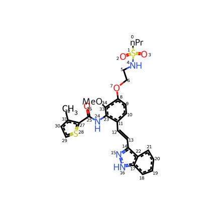 CCCS(=O)(=O)NCCOc1ccc(/C=C/c2n[nH]c3ccccc23)c(NC(=O)c2sccc2C)c1OC